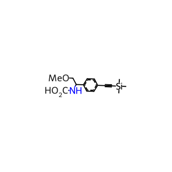 COCC(NC(=O)O)c1ccc(C#C[Si](C)(C)C)cc1